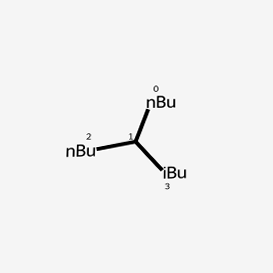 CCCCC(CCCC)C(C)CC